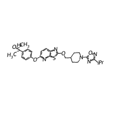 CC(C)c1noc(N2CCC(COc3nc4ccc(Oc5ccc([SH](C)(C)=O)cc5)nc4s3)CC2)n1